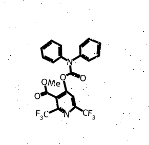 COC(=O)c1c(OC(=O)N(c2ccccc2)c2ccccc2)cc(C(F)(F)F)nc1C(F)(F)F